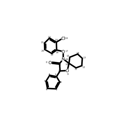 O=C1C(c2ccccc2)OC2(CCCCC2)N1Oc1ccccc1Cl